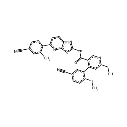 COc1ccc(C#N)cc1-c1cc(CO)ncc1C(=O)Nc1nc2ccc(-c3ccc(C#N)cc3C)nc2s1